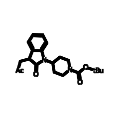 CC(=O)CC1C(=O)N(C2CCN(C(=O)OC(C)(C)C)CC2)c2ccccc21